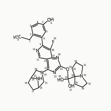 CCc1ccc(O)cc1-c1ncc2c(N3CC4CCC(C3)N4)nc(OC(O)(O)C34CCCN3CCC4)nc2c1F